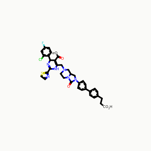 COC(=O)C1=C(CN2CCN3C(=O)N(c4ccc(-c5ccc(CCC(=O)O)cc5)cc4)CC3C2)NC(c2nccs2)=NC1c1ccc(F)cc1Cl